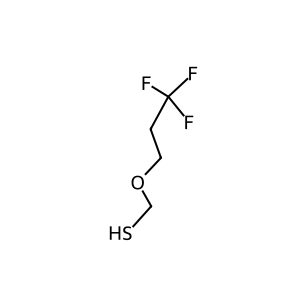 FC(F)(F)CCOCS